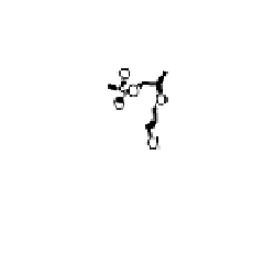 CC(COS(C)(=O)=O)OCC=CCl